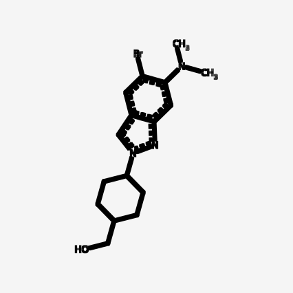 CN(C)c1cc2nn(C3CCC(CO)CC3)cc2cc1Br